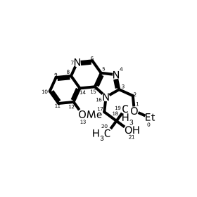 CCOCc1nc2cnc3cccc(OC)c3c2n1CC(C)(C)O